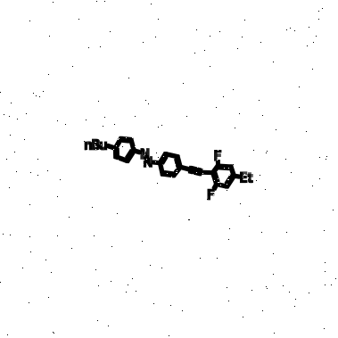 CCCCc1ccc(N=Nc2ccc(C#Cc3c(F)cc(CC)cc3F)cc2)cc1